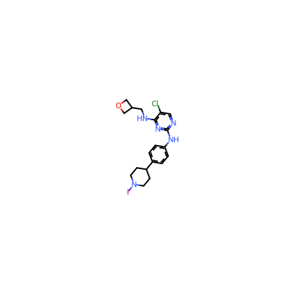 Clc1cnc(Nc2ccc(C3CCN(I)CC3)cc2)nc1NCC1COC1